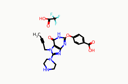 CC#CCn1c(N2CCNCC2)nc2nc(Oc3ccc(C(=O)O)cc3)[nH]c(=O)c21.O=C(O)C(F)(F)F